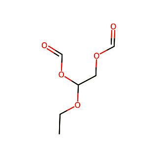 CCOC(COC=O)OC=O